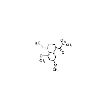 CC[C@@H]1CCN(C(=O)C(C)C)c2cc(OC)cc(OC)c21